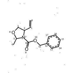 C=CC1COC(C)N1C(=O)OCc1ccccc1